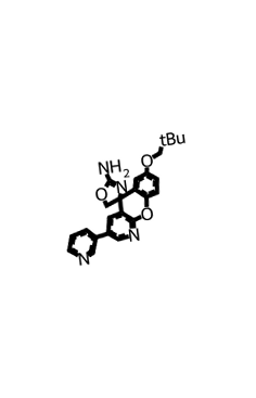 CC(C)(C)COc1ccc2c(c1)C1(COC(N)=N1)c1cc(-c3cccnc3)cnc1O2